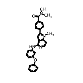 CN(C)C(=O)c1ccc(-c2cc3c(Nc4cccc(Oc5ccccc5)c4)nccc3n2C)cc1